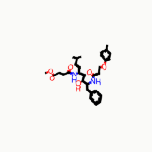 COC(=O)CCC(=O)NC(CCC(C)C)C[C@H](O)C(Cc1ccccc1)NC(=O)CCOc1ccc(C)cc1